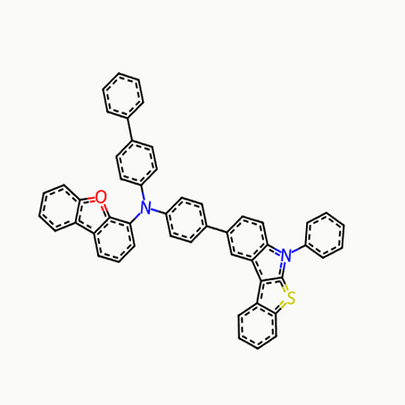 c1ccc(-c2ccc(N(c3ccc(-c4ccc5c(c4)c4c6ccccc6sc4n5-c4ccccc4)cc3)c3cccc4c3oc3ccccc34)cc2)cc1